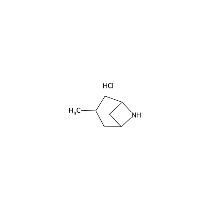 CC1CC2CC(C1)N2.Cl